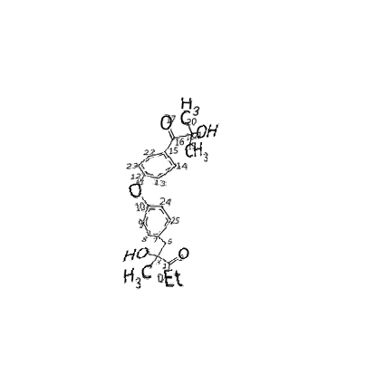 CCC(=O)C(C)(O)Cc1ccc(Oc2ccc(C(=O)C(C)(C)O)cc2)cc1